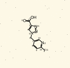 O=C(O)c1cn(Cc2ccc(F)nc2)nn1